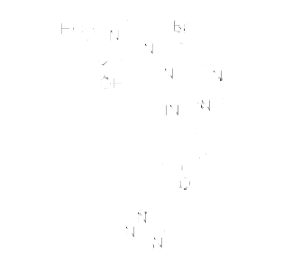 O=C(O)N1CCN(c2nc3c(Nc4ccc(Oc5ccn6ncnc6c5)cc4)ncnc3cc2Br)C[C@H]1CO